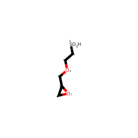 O=S(=O)(O)CCOCC1CO1